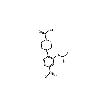 O=C(O)N1CCN(c2ccc([N+](=O)[O-])cc2OC(F)F)CC1